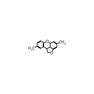 CC1=CC2Oc3ccc(C)cc3C3COC(=C1)C23